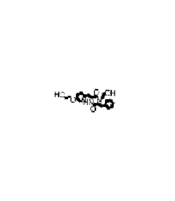 O=c1[nH]/c(=C\c2ccc(OCCO)cn2)c(=O)n(CCO)/c1=C\c1ccccc1